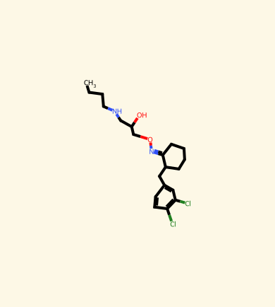 CCCCNCC(O)CO/N=C1\CCCCC1Cc1ccc(Cl)c(Cl)c1